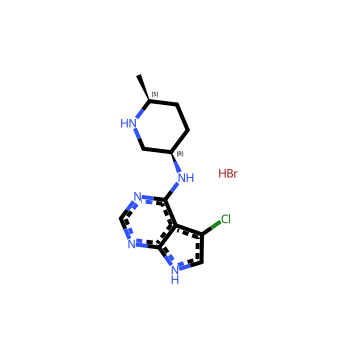 Br.C[C@H]1CC[C@@H](Nc2ncnc3[nH]cc(Cl)c23)CN1